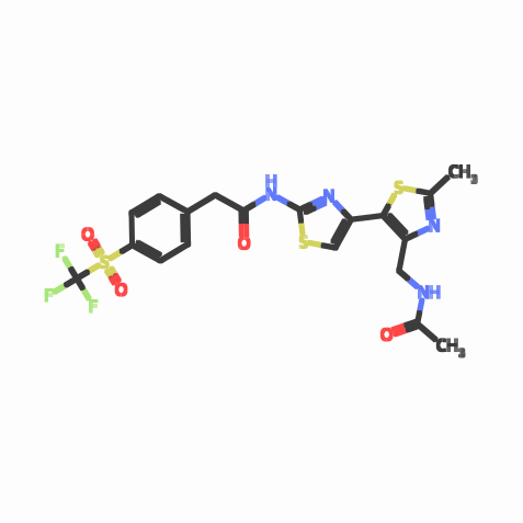 CC(=O)NCc1nc(C)sc1-c1csc(NC(=O)Cc2ccc(S(=O)(=O)C(F)(F)F)cc2)n1